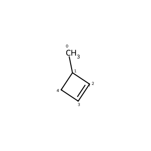 CC1[C]=CC1